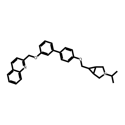 CC(C)N1CC2C(COc3ccc(-c4cccc(OCc5ccc6ccccc6n5)c4)cc3)C2C1